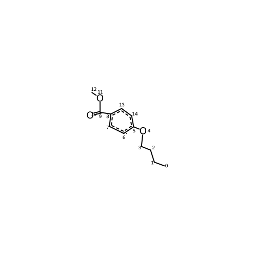 CCCCOc1[c]cc(C(=O)OC)cc1